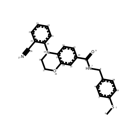 CSc1ccc(CNC(=O)c2ccc3c(c2)OCCN3c2ccccc2C#N)cc1